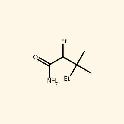 CCC(C(N)=O)C(C)(C)CC